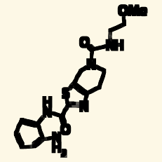 COCCNC(=O)N1CCc2nc(C(=O)Nc3ccccc3N)sc2C1